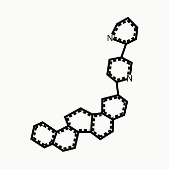 c1ccc(-c2ccc(-c3ccc4ccc5c(ccc6c7ccccc7ccc65)c4c3)nc2)nc1